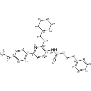 COc1ccc(-c2cnc(NC(=O)CCCc3ccccc3)c(CCC3CCCCC3)n2)cc1